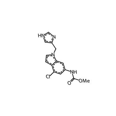 COC(=O)Nc1cc(Cl)c2ccn(Cc3c[nH]cn3)c2c1